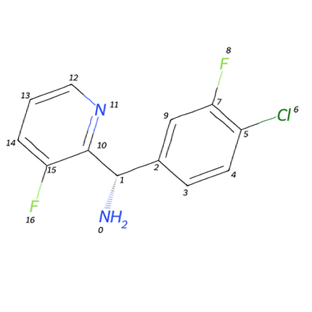 N[C@@H](c1ccc(Cl)c(F)c1)c1ncccc1F